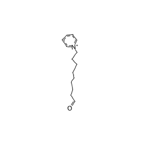 O=CCCCCCCCC[n+]1ccccc1